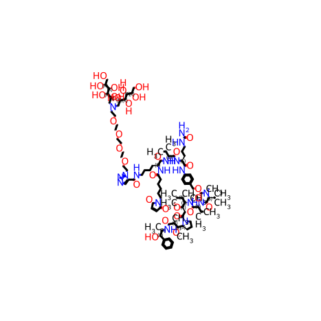 CC[C@H](C)[C@@H]([C@@H](CC(=O)N1CCC[C@H]1[C@H](OC)[C@@H](C)C(=O)N[C@H](C)[C@@H](O)c1ccccc1)OC)N(C)C(=O)[C@@H](NC(=O)[C@H](C(C)C)N(C)C(=O)OCc1ccc(NC(=O)[C@H](CCCNC(N)=O)NC(=O)[C@@H](NC(=O)[C@H](CCCCNC(=O)c2cnnn2CCOCCOCCOCCOCCN(C[C@H](O)[C@@H](O)[C@H](O)[C@H](O)CO)C[C@H](O)[C@@H](O)[C@H](O)[C@H](O)CO)NC(=O)CCCCCN2C(=O)C=CC2=O)C(C)C)cc1)C(C)C